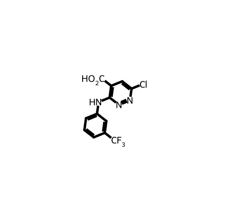 O=C(O)c1cc(Cl)nnc1Nc1cccc(C(F)(F)F)c1